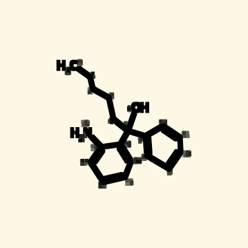 CCCCCC(O)(c1ccccc1)c1ccccc1N